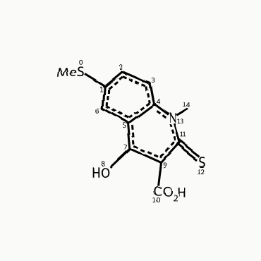 CSc1ccc2c(c1)c(O)c(C(=O)O)c(=S)n2C